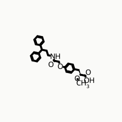 CO[C@@H](Cc1ccc(OCC(=O)NCCC(c2ccccc2)c2ccccc2)cc1)C(=O)O